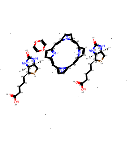 C1=COC=CO1.C1=Cc2cc3ccc(cc4nc(cc5ccc(cc1n2)[nH]5)C=C4)[nH]3.O=C(O)CCCC[C@@H]1SC[C@@H]2NC(=O)N[C@@H]21.O=C(O)CCCC[C@@H]1SC[C@@H]2NC(=O)N[C@@H]21